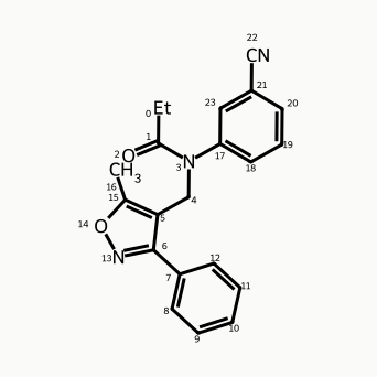 CCC(=O)N(Cc1c(-c2ccccc2)noc1C)c1cccc(C#N)c1